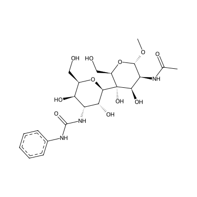 CO[C@H]1O[C@H](CO)[C@](O)([C@@H]2O[C@H](CO)[C@H](O)[C@@H](NC(=O)Nc3ccccc3)[C@H]2O)[C@H](O)[C@@H]1NC(C)=O